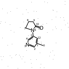 Cc1cncc(N2CCCC2=O)c1